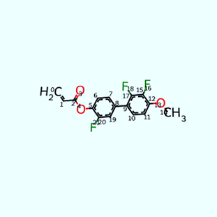 C=CC(=O)Oc1ccc(-c2ccc(OC)c(F)c2F)cc1F